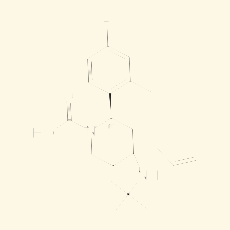 C=CC[C@]1(NC(C)(C)C)CCN(C(=O)O)[C@@H](c2ccc(F)cc2C)C1